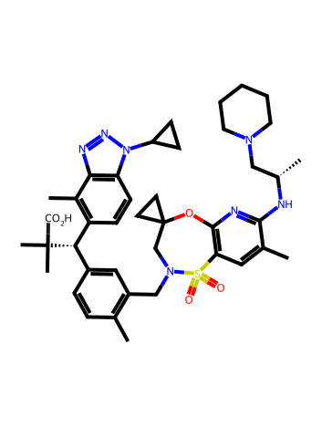 Cc1ccc([C@@H](c2ccc3c(nnn3C3CC3)c2C)C(C)(C)C(=O)O)cc1CN1CC2(CC2)Oc2nc(N[C@@H](C)CN3CCCCC3)c(C)cc2S1(=O)=O